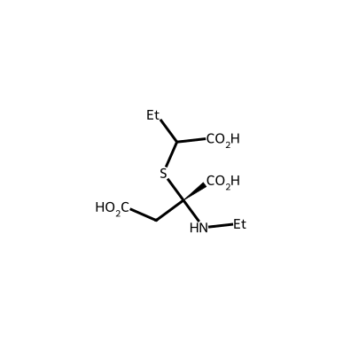 CCN[C@](CC(=O)O)(SC(CC)C(=O)O)C(=O)O